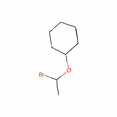 CC(Br)OC1CCCCC1